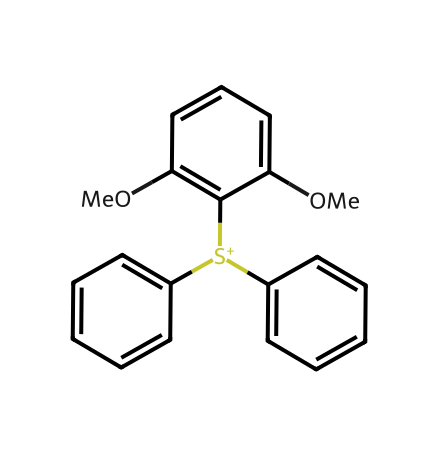 COc1cccc(OC)c1[S+](c1ccccc1)c1ccccc1